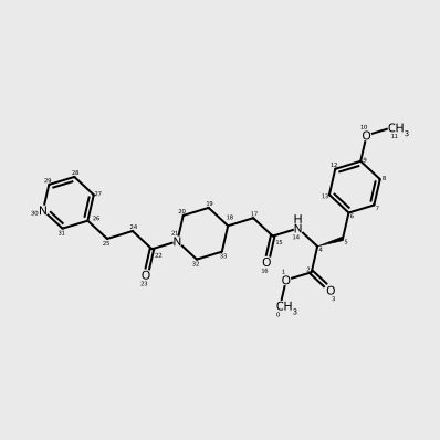 COC(=O)[C@H](Cc1ccc(OC)cc1)NC(=O)CC1CCN(C(=O)CCc2cccnc2)CC1